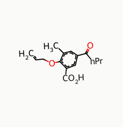 C=CCOc1c(C)cc(C(=O)CCC)cc1C(=O)O